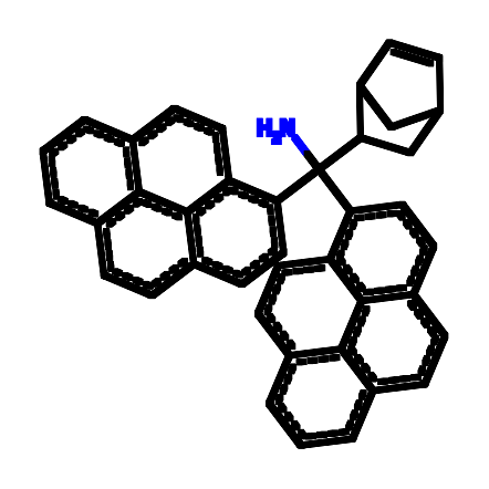 NC(c1ccc2ccc3cccc4ccc1c2c34)(c1ccc2ccc3cccc4ccc1c2c34)C1CC2C=CC1C2